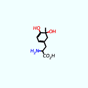 CC1(O)CC(CC(N)C(=O)O)=CC=C1O